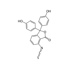 O=C1OC(c2ccc(O)cc2)(c2ccc(O)cc2)c2cccc(N=C=S)c21